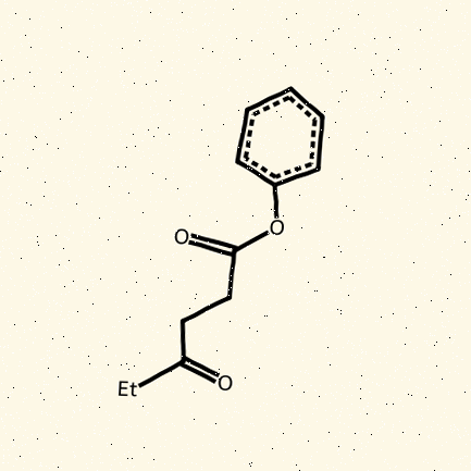 CCC(=O)CCC(=O)Oc1ccccc1